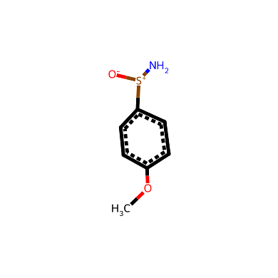 COc1ccc([S+](N)[O-])cc1